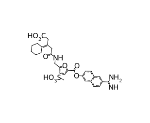 CS(=O)(=O)O.N=C(N)c1ccc2cc(OC(=O)c3ccc(CNC(=O)CC(CC(=O)O)=C4CCCCC4)o3)ccc2c1